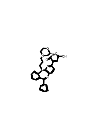 O=C(O)C=C(C(=O)O)c1ccc2c(n1)N(CCCN1CCOCC1)c1ccccc1C(c1ccccc1)=N2